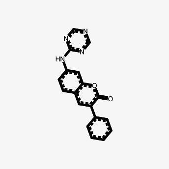 O=c1oc2cc(Nc3ncncn3)ccc2cc1-c1ccccc1